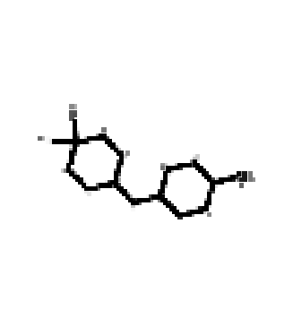 CC1CCC(CC2CCC(F)(F)CC2)CC1